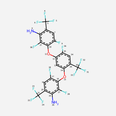 Nc1c(C(F)(F)F)cc(F)c(Oc2cc(Oc3c(F)cc(C(F)(F)F)c(N)c3F)c(C(F)(F)F)cc2F)c1F